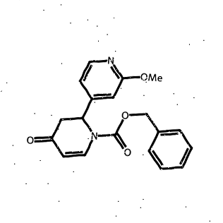 COc1cc(C2CC(=O)C=CN2C(=O)OCc2ccccc2)ccn1